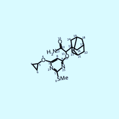 CSc1nc(OC2CC2)cc(OC(C(N)=O)C23CC4CC(CC(C4)C2)C3)n1